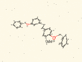 COc1cc(C[CH]c2cccc(OCc3ccccc3)c2)ccc1OCc1ccccc1